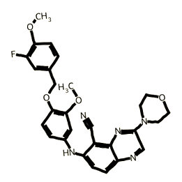 COc1ccc(COc2ccc(Nc3ccc4ncc(N5CCOCC5)nc4c3C#N)cc2OC)cc1F